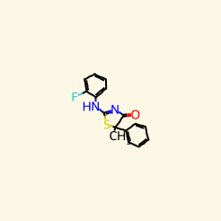 CC1(c2ccccc2)SC(Nc2ccccc2F)=NC1=O